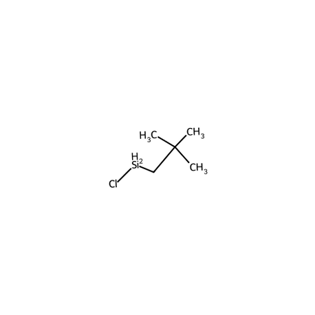 CC(C)(C)C[SiH2]Cl